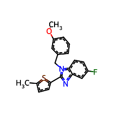 COc1cccc(Cn2c(-c3ccc(C)s3)nc3cc(F)ccc32)c1